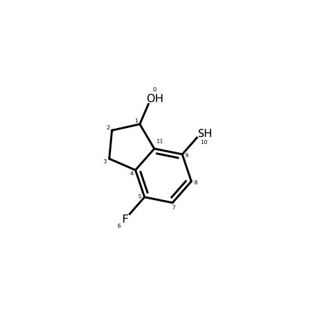 OC1CCc2c(F)ccc(S)c21